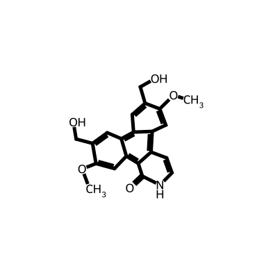 COc1cc2c(cc1CO)c1cc(CO)c(OC)cc1c1c(=O)[nH]ccc21